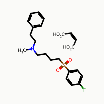 CN(CCCCS(=O)(=O)c1ccc(F)cc1)CCc1ccccc1.O=C(O)/C=C\C(=O)O